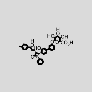 Cc1ccc([C@@H](O)CC[C@H]2C(=O)N(c3ccccc3)[C@@H]2c2ccc(-c3cccc(O[C@@H]4OC(C(=O)O)[C@@H](O)[C@H](O)C4O)c3)cc2O)cc1